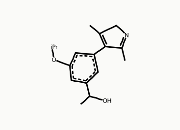 CC1=NCC(C)=C1c1cc(OC(C)C)cc(C(C)O)c1